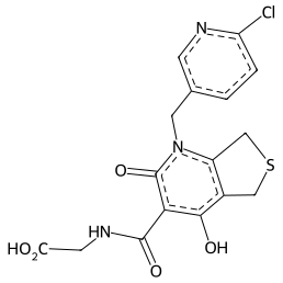 O=C(O)CNC(=O)c1c(O)c2c(n(Cc3ccc(Cl)nc3)c1=O)CSC2